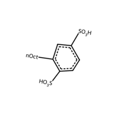 CCCCCCCCc1cc(S(=O)(=O)O)ccc1S(=O)(=O)O